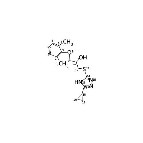 Cc1c[c]cc(C)c1OCC(O)CSc1nnc(C2CC2)[nH]1